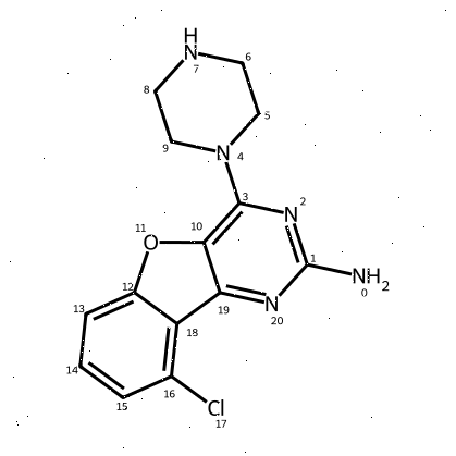 Nc1nc(N2CCNCC2)c2oc3cccc(Cl)c3c2n1